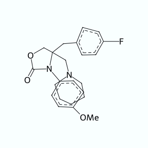 COc1ccc(N2C(=O)OCC2(Cc2ccc(F)cc2)CN2CCCCC2)cc1